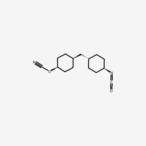 N#CO[C@H]1CC[C@@H](C[C@H]2CC[C@H](N=C=O)CC2)CC1